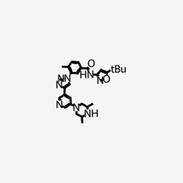 Cc1ccc(C(=O)Nc2cc(C(C)(C)C)on2)cc1-n1cc(-c2cncc(N3CC(C)NC(C)C3)c2)nn1